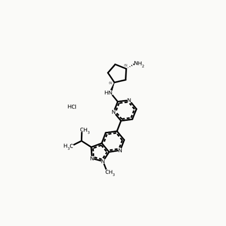 CC(C)c1nn(C)c2ncc(-c3ccnc(N[C@H]4CC[C@H](N)C4)n3)cc12.Cl